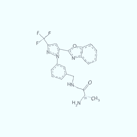 C[C@H](N)C(=O)NCc1cccc(-n2nc(C(F)(F)F)cc2-c2nc3ccccc3o2)c1